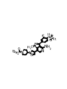 CCS(=O)(=O)Nc1ccc(-c2nn(C)c3c(-c4cnn(C5CCN(C(=O)OC(C)(C)C)CC5)c4)cnc(N)c23)cc1F